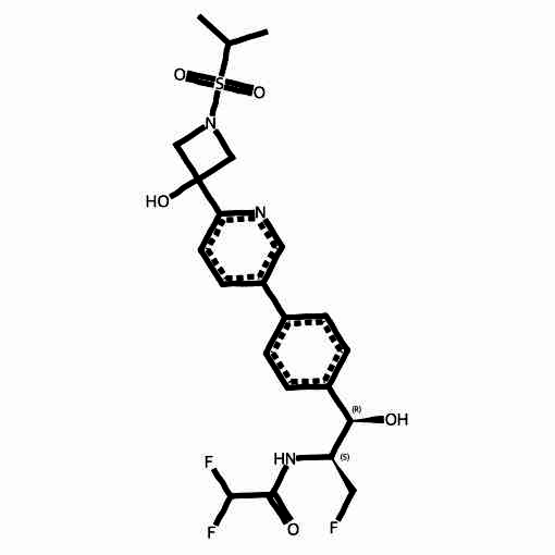 CC(C)S(=O)(=O)N1CC(O)(c2ccc(-c3ccc([C@@H](O)[C@@H](CF)NC(=O)C(F)F)cc3)cn2)C1